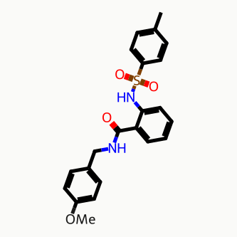 COc1ccc(CNC(=O)c2ccccc2NS(=O)(=O)c2ccc(C)cc2)cc1